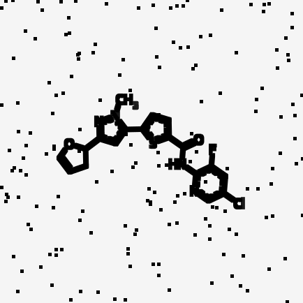 Cn1nc(C2CC=CO2)cc1-c1ccc(C(=O)Nc2ncc(Cl)cc2F)s1